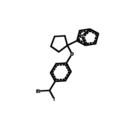 CCC(I)c1ccc(OC2(c3cc4ccc3o4)CCCC2)cc1